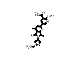 COc1ncc(-c2cc(C)c3c(n2)C(C)N(c2cnn(CC(F)(F)F)c2)C3=O)cc1C(=O)NC(C)C